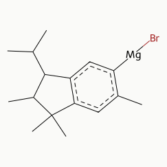 Cc1cc2c(c[c]1[Mg][Br])C(C(C)C)C(C)C2(C)C